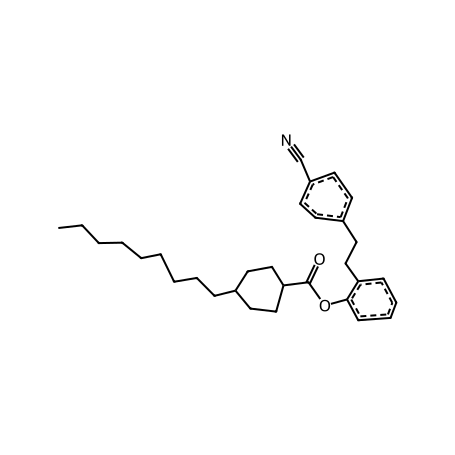 CCCCCCCCCC1CCC(C(=O)Oc2ccccc2CCc2ccc(C#N)cc2)CC1